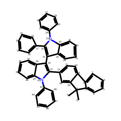 CC1(C)c2ccccc2-c2ccc(-c3c(-c4c(-c5ccccc5)n(-c5ccccc5)c5ccccc45)c4ccccc4n3-c3ccccc3)cc21